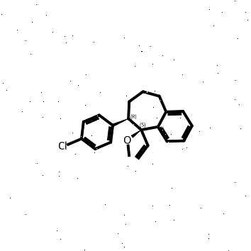 C=C[C@@]1(OC)c2ccccc2CCC[C@@H]1c1ccc(Cl)cc1